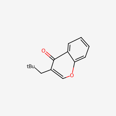 CC(C)(C)Cc1coc2ccccc2c1=O